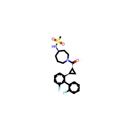 CS(=O)(=O)N[C@@H]1CCCN(C(=O)[C@@H]2C[C@H]2c2cccc(F)c2-c2ccccc2F)CC1